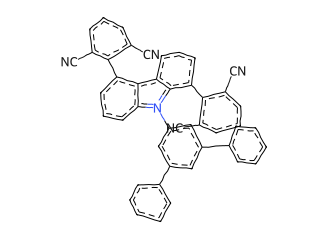 N#Cc1cccc(C#N)c1-c1cccc2c1c1cccc(-c3c(C#N)cccc3C#N)c1n2-c1cc(-c2ccccc2)cc(-c2ccccc2)c1